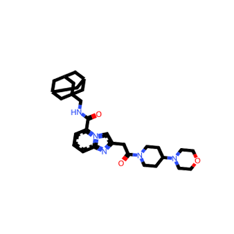 O=C(NCC12CC3CC(CC(C3)C1)C2)c1cccc2nc(CC(=O)N3CCC(N4CCOCC4)CC3)cn12